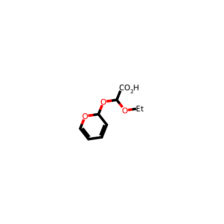 CCOC(OC1C=CC=CO1)C(=O)O